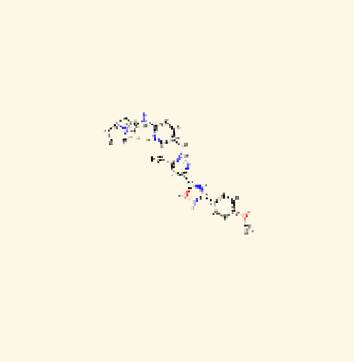 Cc1cc(-c2nc(-c3ccc(OC(F)(F)F)cc3)no2)nn1Cc1ccc(NC2CC3CCC(C2)N3C)nc1